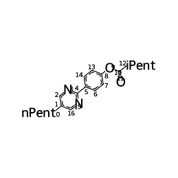 CCCCCc1cnc(-c2ccc(OC(=O)C(C)CCC)cc2)nc1